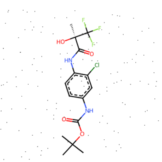 CC(C)(C)OC(=O)Nc1ccc(NC(=O)[C@@](C)(O)C(F)(F)F)c(Cl)c1